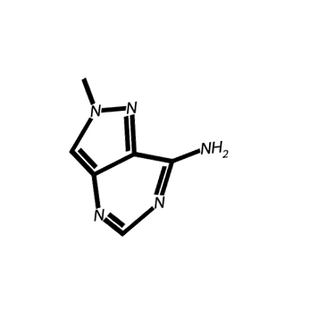 Cn1cc2ncnc(N)c2n1